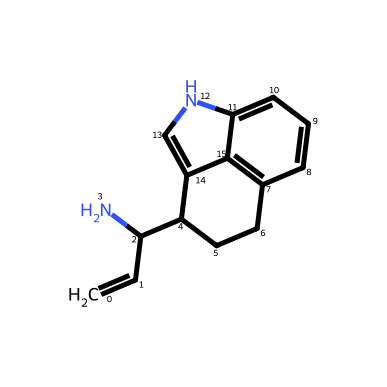 C=CC(N)C1CCc2cccc3[nH]cc1c23